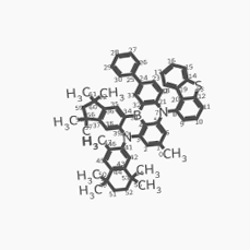 Cc1cc2c3c(c1)N(c1cccc4sc5ccccc5c14)c1ccc(-c4ccccc4)cc1B3c1cc3c(cc1N2c1cc2c(cc1C)C(C)(C)CCC2(C)C)C(C)(C)CC3(C)C